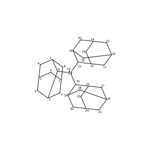 C1C2CC3CC1CC(C2)C3N(C1C2CC3CC(C2)CC1C3)C1C2CC3CC(C2)CC1C3